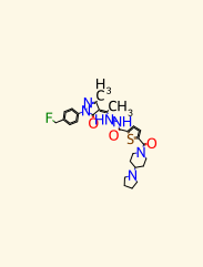 CC1=NN(c2ccc(CF)cc2)C(=O)/C1=C(/C)NNC(=O)c1ccc(C(=O)N2CCC(N3CCCC3)CC2)s1